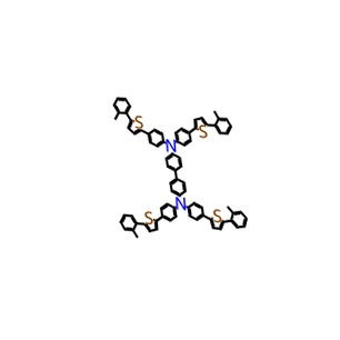 Cc1ccccc1-c1ccc(-c2ccc(N(c3ccc(-c4ccc(N(c5ccc(-c6ccc(-c7ccccc7C)s6)cc5)c5ccc(-c6ccc(-c7ccccc7C)s6)cc5)cc4)cc3)c3ccc(-c4ccc(-c5ccccc5C)s4)cc3)cc2)s1